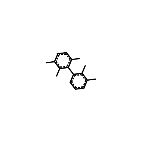 Cc1[c]ccc(-c2c(C)c[c]c(C)c2C)c1C